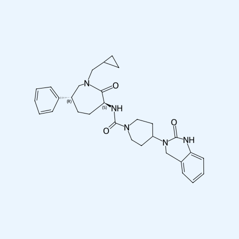 O=C(N[C@H]1CC[C@H](c2ccccc2)CN(CC2CC2)C1=O)N1CCC(N2Cc3ccccc3NC2=O)CC1